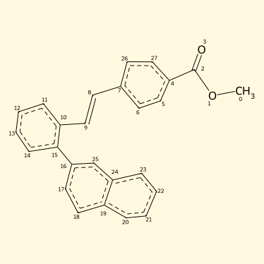 COC(=O)c1ccc(/C=C/c2ccccc2-c2ccc3ccccc3c2)cc1